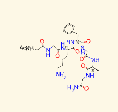 CC(=O)NCC(=O)NCC(=O)N[C@@H](CCCCN)C(=O)N[C@H](Cc1ccccc1)C(=O)NCC(=O)N[C@@H](C)C(=O)NCC(N)=O